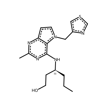 CCC[C@@H](CCO)Nc1nc(C)nc2ccn(Cc3cscn3)c12